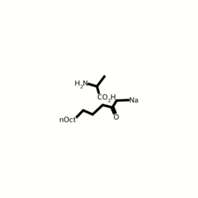 CC(N)C(=O)O.CCCCCCCCCCCC(=O)[CH2][Na]